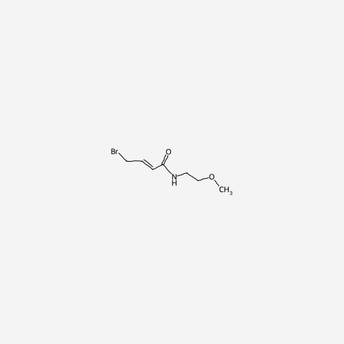 COCCNC(=O)/C=C/CBr